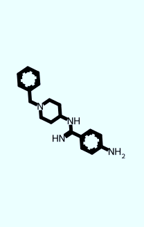 N=C(NC1CCN(Cc2ccccc2)CC1)c1ccc(N)cc1